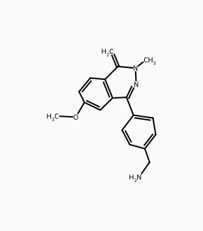 C=C1c2ccc(OC)cc2C(c2ccc(CN)cc2)=NN1C